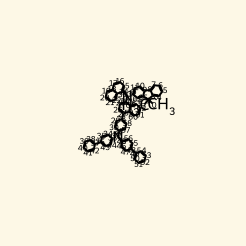 CC1(C)c2ccccc2-c2ccc(N(c3cccc4ccccc34)c3ccc(-c4ccc(N(c5ccc(-c6ccccc6)cc5)c5ccc(-c6ccccc6)cc5)cc4)c4ccccc34)cc21